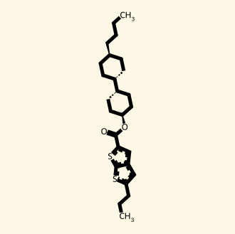 CCCC[C@H]1CC[C@H]([C@H]2CC[C@H](OC(=O)c3cc4cc(CCC)sc4s3)CC2)CC1